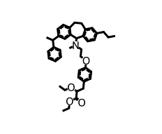 CCCc1ccc2c(c1)CCc1ccc(C(C)c3ccccc3)cc1C2N(C)CCOc1ccc(CC(OCC)C(=O)OCC)cc1